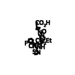 CCOC(=O)C1=C(CN2CCN3C(=O)N(C45CC(CC(=O)O)(C4)C5)CC3C2)NC(c2nccs2)=NC1c1cccc(F)c1Cl